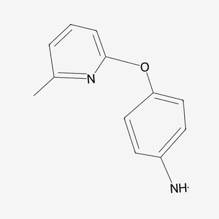 Cc1cccc(Oc2ccc([NH])cc2)n1